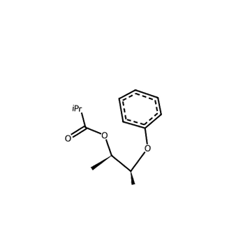 CC(C)C(=O)O[C@H](C)[C@H](C)Oc1ccccc1